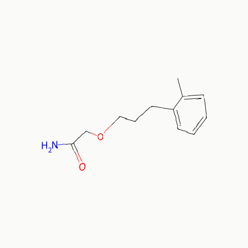 Cc1ccccc1CCCOCC(N)=O